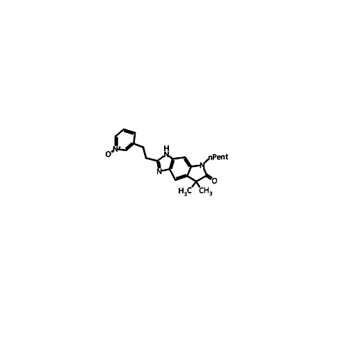 CCCCCN1C(=O)C(C)(C)c2cc3nc(CCc4ccc[n+]([O-])c4)[nH]c3cc21